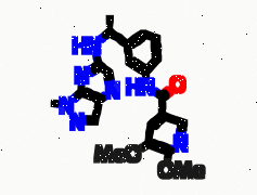 COc1cc(C(=O)Nc2cccc([C@H](C)Nc3cnc4cnn(C)c4n3)c2)cnc1OC